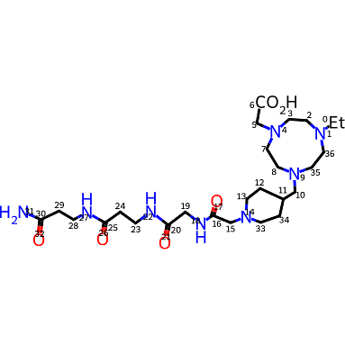 CCN1CCN(CC(=O)O)CCN(CC2CCN(CC(=O)NCC(=O)NCCC(=O)NCCC(N)=O)CC2)CC1